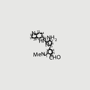 CNCc1cc(-c2ccc(N)c(NCc3ccc4ncccc4c3)n2)ccc1C=O